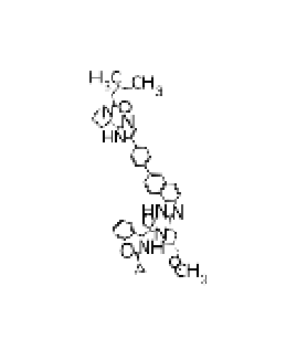 CC[C@H](C)CC(=O)N1CCC[C@H]1c1ncc(-c2ccc(-c3ccc4c(ccc5nc([C@@H]6C[C@H](COC)CN6C(=O)[C@H](NC(=O)C6CC6)c6ccccc6)[nH]c54)c3)cc2)[nH]1